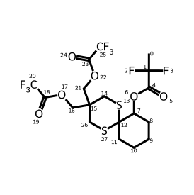 CC(F)(F)C(=O)OC1CCCCC12SCC(COC(=O)C(F)(F)F)(COC(=O)C(F)(F)F)CS2